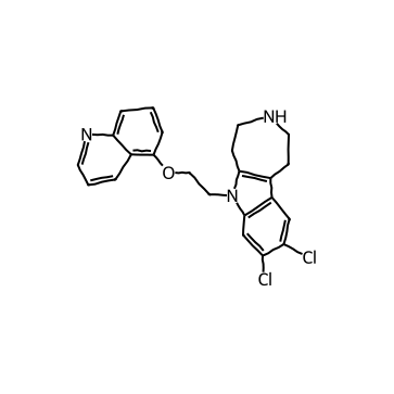 Clc1cc2c3c(n(CCOc4cccc5ncccc45)c2cc1Cl)CCNCC3